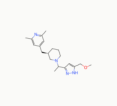 COCc1cc(C(C)N2CCC[C@H](Cc3cc(C)nc(C)c3)C2)n[nH]1